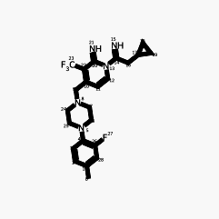 Cc1ccc(N2CCN(Cc3ccn(C(=N)CC4CC4)c(=N)c3C(F)(F)F)CC2)c(F)c1